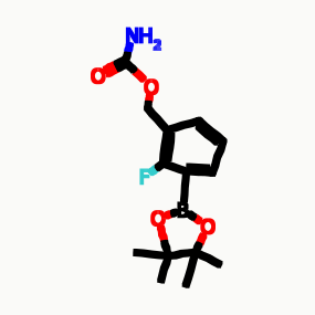 CC1(C)OB(c2cccc(COC(N)=O)c2F)OC1(C)C